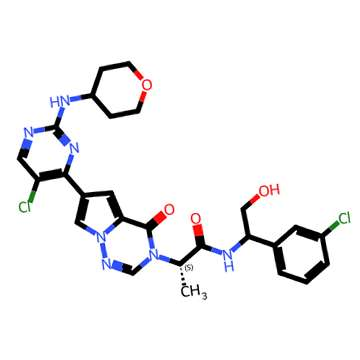 C[C@@H](C(=O)NC(CO)c1cccc(Cl)c1)n1cnn2cc(-c3nc(NC4CCOCC4)ncc3Cl)cc2c1=O